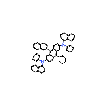 C1=CCCC(c2c3cc(N(c4ccccc4)c4cccc5ccccc45)ccc3c(-c3ccc4ccccc4c3)c3cc(N(c4ccccc4)c4cccc5ccccc45)ccc23)=C1